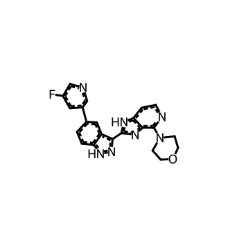 Fc1cncc(-c2ccc3[nH]nc(-c4nc5c(N6CCOCC6)nccc5[nH]4)c3c2)c1